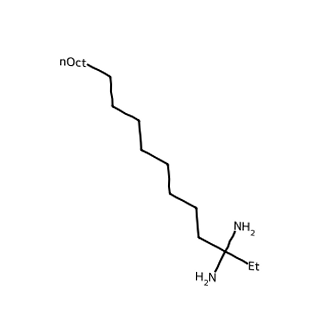 CCCCCCCCCCCCCCCCC(N)(N)CC